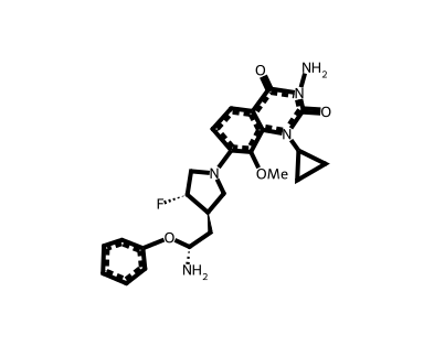 COc1c(N2C[C@@H](C[C@H](N)Oc3ccccc3)[C@H](F)C2)ccc2c(=O)n(N)c(=O)n(C3CC3)c12